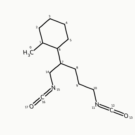 CC1CCCCC1C(CCCN=C=O)CN=C=O